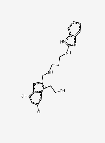 OCCn1c(CNCCCNc2nc3ccccc3[nH]2)cc2c(Cl)cc(Cl)cc21